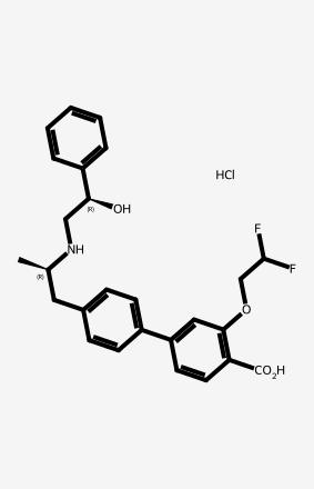 C[C@H](Cc1ccc(-c2ccc(C(=O)O)c(OCC(F)F)c2)cc1)NC[C@H](O)c1ccccc1.Cl